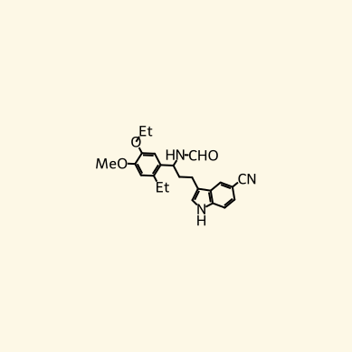 CCOc1cc(C(CCc2c[nH]c3ccc(C#N)cc23)NC=O)c(CC)cc1OC